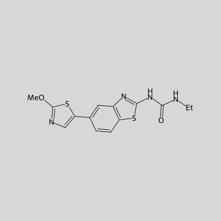 CCNC(=O)Nc1nc2cc(-c3cnc(OC)s3)ccc2s1